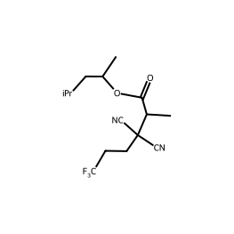 CC(C)CC(C)OC(=O)C(C)C(C#N)(C#N)CCC(F)(F)F